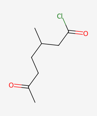 CC(=O)CCC(C)CC(=O)Cl